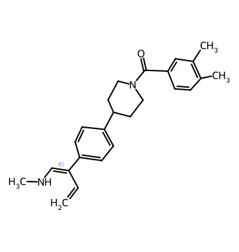 C=C/C(=C\NC)c1ccc(C2CCN(C(=O)c3ccc(C)c(C)c3)CC2)cc1